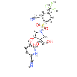 N#Cc1ccc(O[C@H]2CN(S(=O)(=O)c3ccc(C(F)(F)F)cc3C#N)C[C@@]2(O)CO)cn1